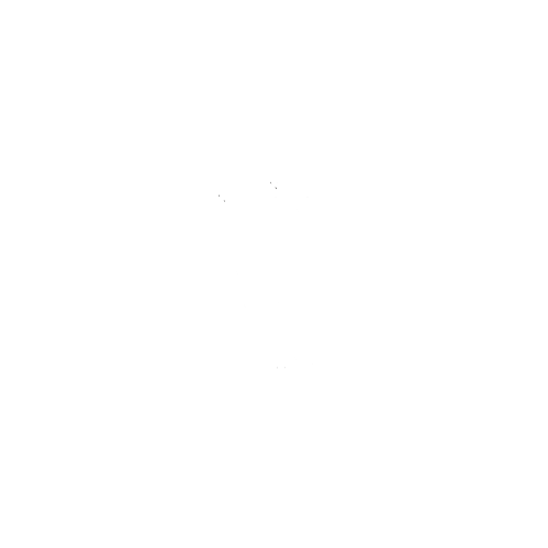 N#CC(CCc1cccc(OCCC(=O)O)c1)c1ccccn1